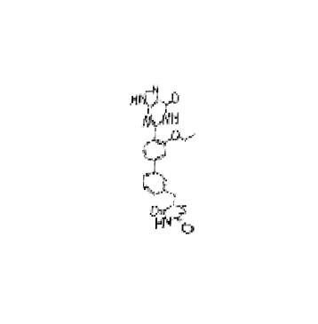 CCOc1cc(-c2cccc(CC3SC(=O)NC3=O)c2)ccc1-c1nc2[nH]cnc2c(=O)[nH]1